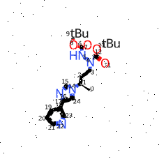 C[C@H](CCN(NC(=O)OC(C)(C)C)C(=O)OC(C)(C)C)n1cnc(-c2cccnc2)c1